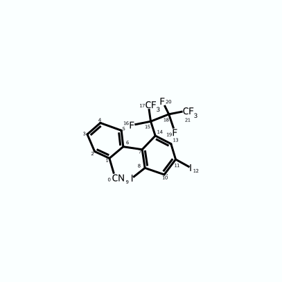 N#Cc1ccccc1-c1c(I)[c]c(I)cc1C(F)(C(F)(F)F)C(F)(F)C(F)(F)F